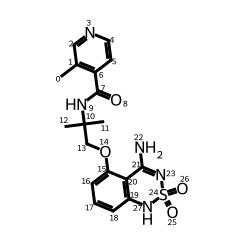 Cc1cnccc1C(=O)NC(C)(C)COc1cccc2c1C(N)=NS(=O)(=O)N2